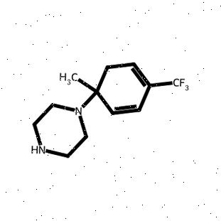 CC1(N2CCNCC2)C=CC(C(F)(F)F)=CC1